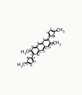 Cc1ccc(-c2cc3cc4cc(C)c(-c5ccc(C)s5)cc4cc3cc2C)s1